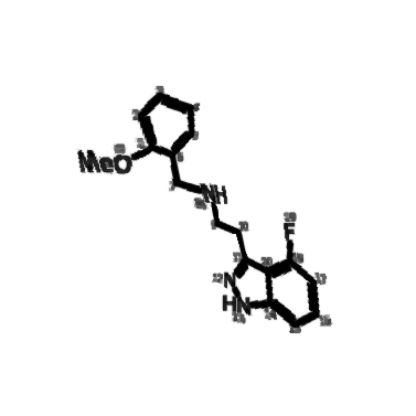 COc1ccccc1CNCCc1n[nH]c2cccc(F)c12